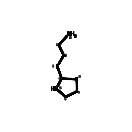 NCCSC1NCCS1